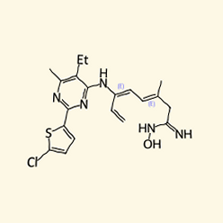 C=C/C(=C\C=C(/C)CC(=N)NO)Nc1nc(-c2ccc(Cl)s2)nc(C)c1CC